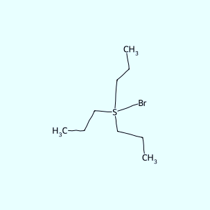 CCCS(Br)(CCC)CCC